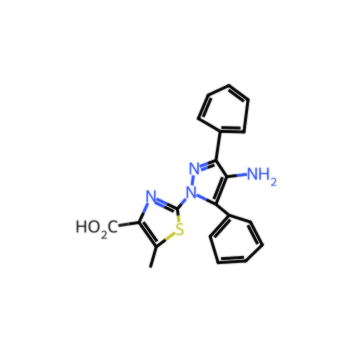 Cc1sc(-n2nc(-c3ccccc3)c(N)c2-c2ccccc2)nc1C(=O)O